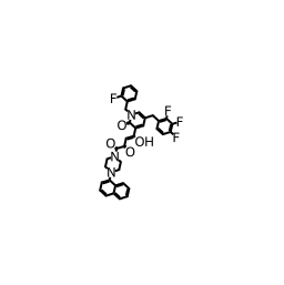 O=C(/C=C(\O)c1cc(Cc2ccc(F)c(F)c2F)cn(Cc2ccccc2F)c1=O)C(=O)N1CCN(c2cccc3ccccc23)CC1